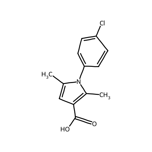 Cc1cc(C(=O)O)c(C)n1-c1ccc(Cl)cc1